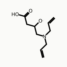 C=CCN(CC=C)CC([O])CC(=O)O